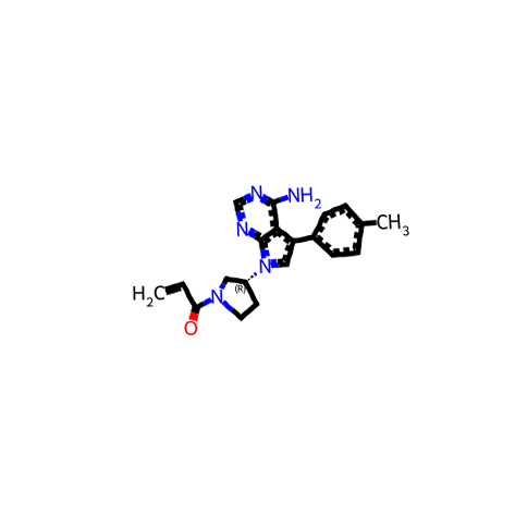 C=CC(=O)N1CC[C@@H](n2cc(-c3ccc(C)cc3)c3c(N)ncnc32)C1